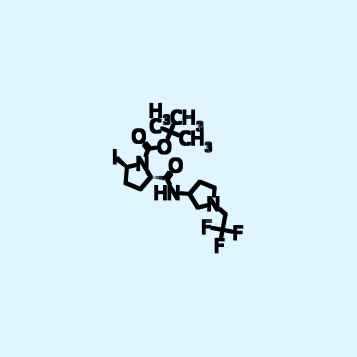 CC(C)(C)OC(=O)N1[C@H](I)CC[C@H]1C(=O)NC1CCN(CC(F)(F)F)C1